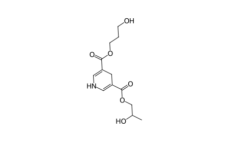 CC(O)COC(=O)C1=CNC=C(C(=O)OCCCO)C1